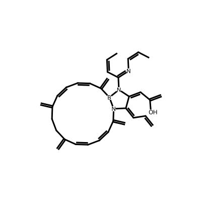 C=C/C=C1\C(=C/C(=C)O)N(C(/C=C\C)=N/C=C\C)B2C(=C)/C=C\C=C/C(=C)CCC(=C)/C=C\C=C/C(=C)N21